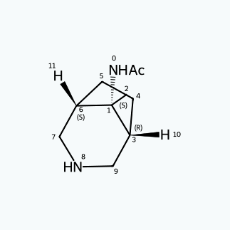 CC(=O)N[C@]1(C)[C@@H]2CC[C@H]1CNC2